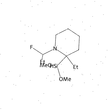 CCC(F)N1CCCCC1(CC)[SiH](OC)OC